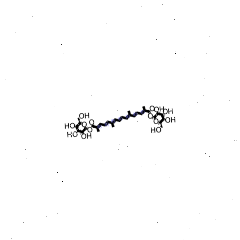 CC(/C=C/C=C(\C)C(=O)O[C@@H]1O[C@H](CO)[C@@H](O)[C@H](O)[C@H]1O)=C\C=C\C=C(C)\C=C\C=C(/C)C(=O)O[C@@H]1O[C@H](CO)[C@@H](O)[C@H](O)[C@H]1O